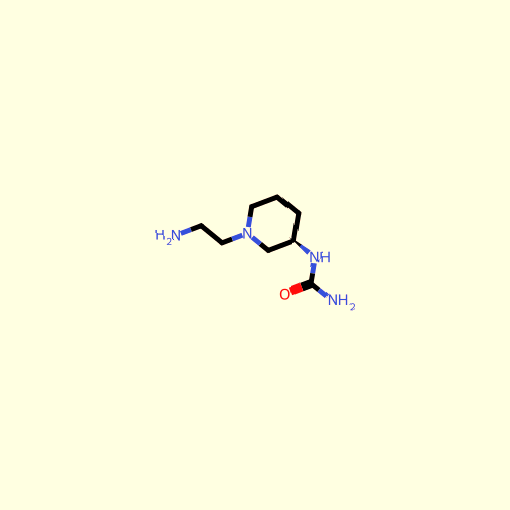 NCCN1CCC[C@@H](NC(N)=O)C1